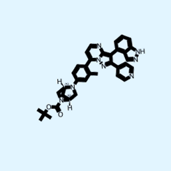 Cc1cc(N2C[C@@H]3C[C@H]2CN3C(=O)OC(C)(C)C)ccc1-c1ccnc2c(-c3cccc4[nH]ncc34)c(-c3ccncc3)nn12